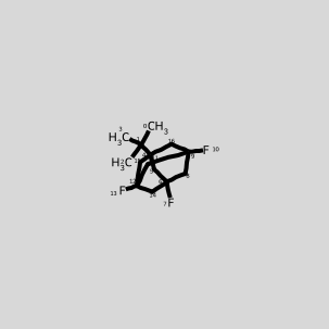 CC(C)(C)C12CC3(F)CC(F)(CC(F)(C3)C1)C2